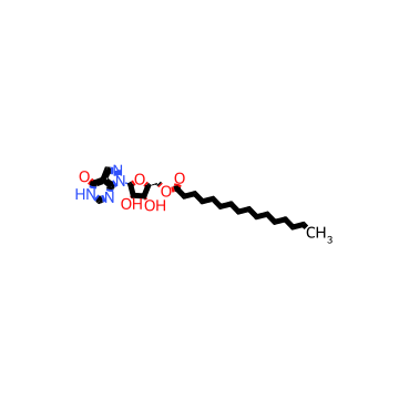 CCCCCCCCCCCCCCCC(=O)OC[C@H]1O[C@@H](n2ncc3c(=O)[nH]cnc32)[C@H](O)[C@@H]1O